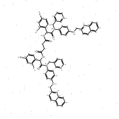 O=C(CCC(=O)OC(C(=O)N(Cc1cccnc1)c1ccc(OCc2ccc3ccccc3n2)cc1)c1ccc(F)cc1F)OC(C(=O)N(Cc1cccnc1)c1ccc(OCc2ccc3ccccc3n2)cc1)c1ccc(F)cc1F